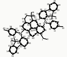 CCc1cc(N(c2ccc(C)cc2)c2cccc3c2C(C)(C)c2ccccc2-3)c2cc3c4c(cc(N(c5ccc(C)cc5)c5cccc6c5C(C)(C)c5ccccc5-6)c5ccc1c2c54)CCC3(C)C